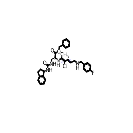 C/C(N[C@@H](CNC(=O)N[C@@H]1CCc2ccccc21)C(=O)OCc1ccccc1)=C(Cl)\C=C\CNCc1ccc(F)cc1